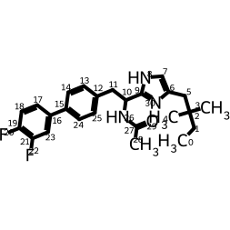 CCC(C)(C)Cc1c[nH]c(C(Cc2ccc(-c3ccc(F)c(F)c3)cc2)NC(C)=O)n1